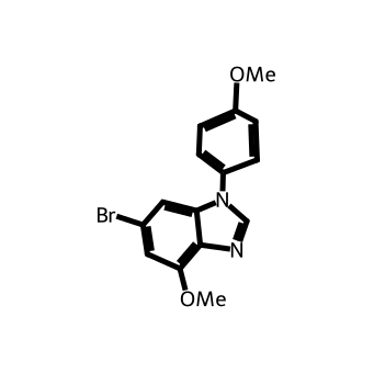 COc1ccc(-n2cnc3c(OC)cc(Br)cc32)cc1